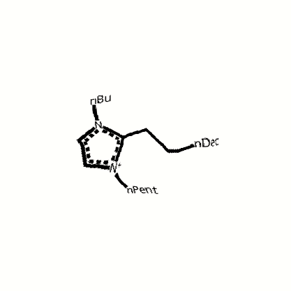 CCCCCCCCCCCCc1n(CCCC)cc[n+]1CCCCC